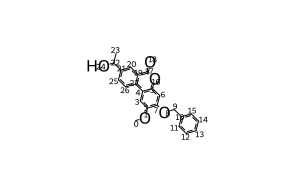 COc1cc2c(cc1OCc1ccccc1)oc(=O)c1cc(C(C)O)ccc12